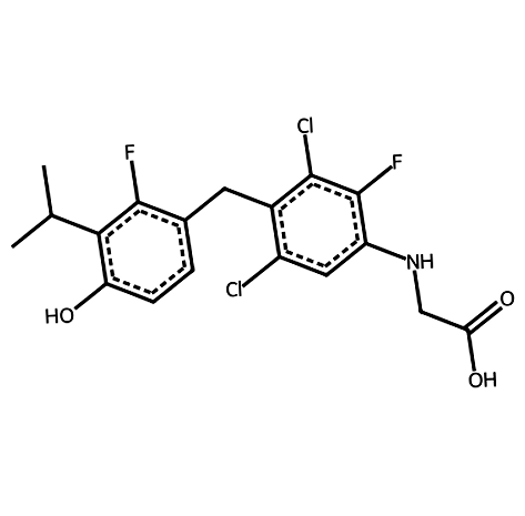 CC(C)c1c(O)ccc(Cc2c(Cl)cc(NCC(=O)O)c(F)c2Cl)c1F